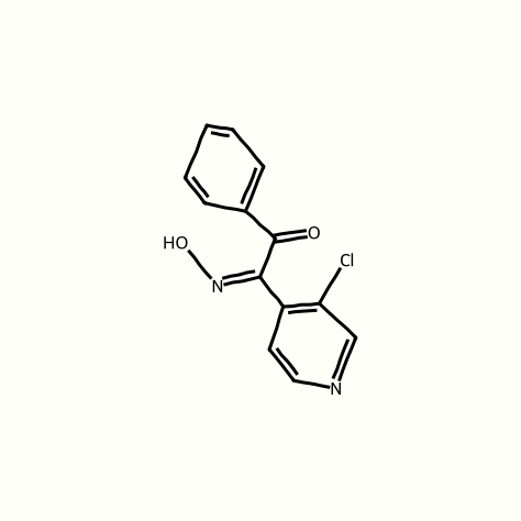 O=C(C(=NO)c1ccncc1Cl)c1ccccc1